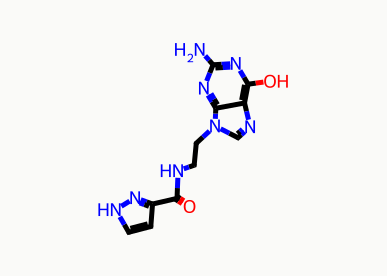 Nc1nc(O)c2ncn(CCNC(=O)c3cc[nH]n3)c2n1